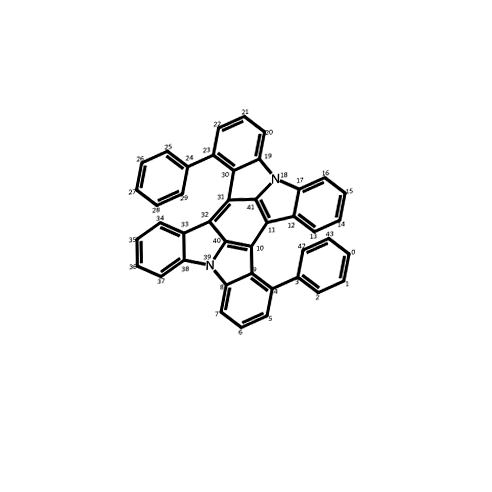 c1ccc(-c2cccc3c2c2c4c5ccccc5n5c6cccc(-c7ccccc7)c6c(c6c7ccccc7n3c62)c45)cc1